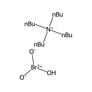 CCCC[N+](CCCC)(CCCC)CCCC.[O-][Br+2]([O-])O